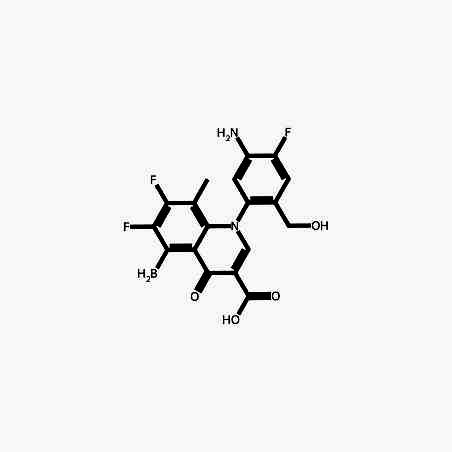 Bc1c(F)c(F)c(C)c2c1c(=O)c(C(=O)O)cn2-c1cc(N)c(F)cc1CO